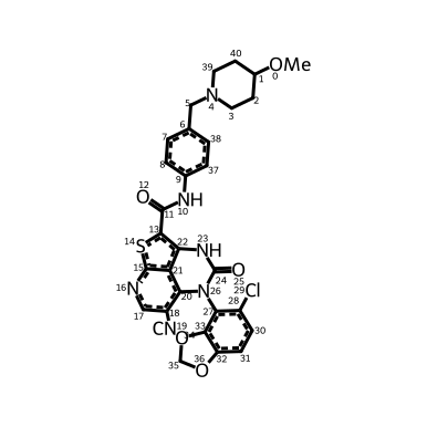 COC1CCN(Cc2ccc(NC(=O)c3sc4ncc(C#N)c5c4c3NC(=O)N5c3c(Cl)ccc4c3OCO4)cc2)CC1